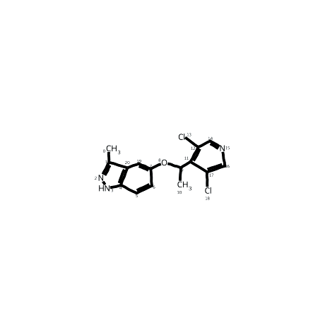 Cc1n[nH]c2ccc(OC(C)c3c(Cl)cncc3Cl)cc12